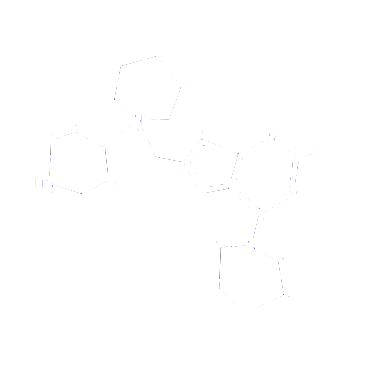 Clc1nc(N2CCOCC2)c2sc(C[N+]3(C4CCNCC4)CCCCC3)cc2n1